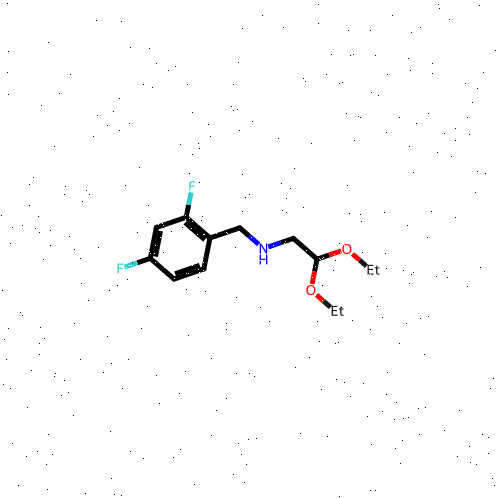 CCOC(CNCc1ccc(F)cc1F)OCC